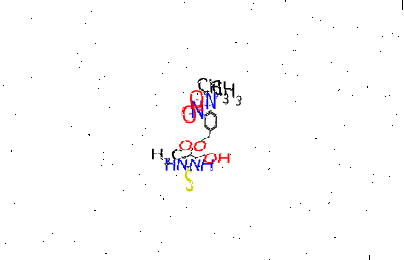 CCN(CC)c1ccc(CCOC(=O)C2=C(C)NC(=S)NC2CO)cc1[N+](=O)[O-]